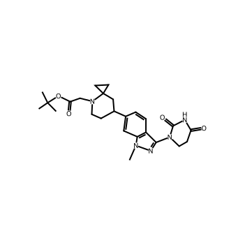 Cn1nc(N2CCC(=O)NC2=O)c2ccc(C3CCN(CC(=O)OC(C)(C)C)C4(CC4)C3)cc21